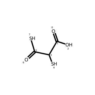 O=C(O)C(S)C(=O)S